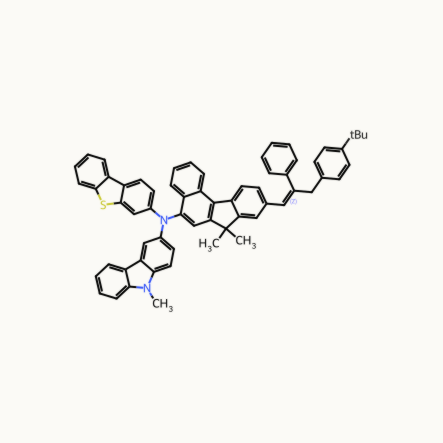 Cn1c2ccccc2c2cc(N(c3ccc4c(c3)sc3ccccc34)c3cc4c(c5ccccc35)-c3ccc(/C=C(/Cc5ccc(C(C)(C)C)cc5)c5ccccc5)cc3C4(C)C)ccc21